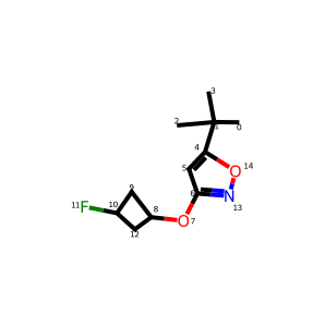 CC(C)(C)c1cc(OC2CC(F)C2)no1